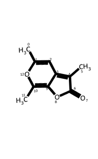 Cc1cc2c(C)c(=O)oc-2c(C)o1